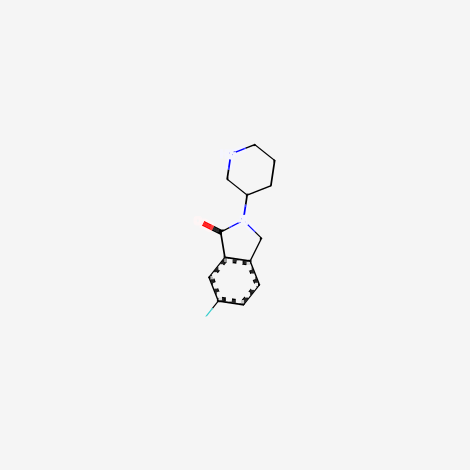 O=C1c2cc(F)ccc2CN1C1CCCNC1